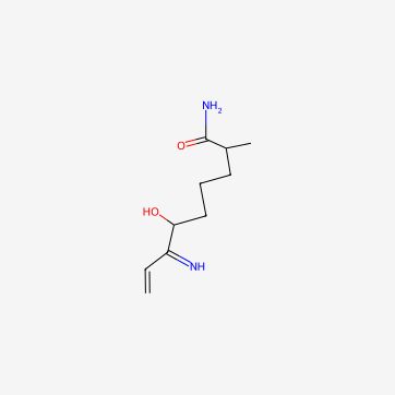 C=CC(=N)C(O)CCCC(C)C(N)=O